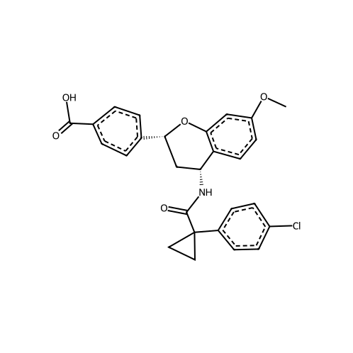 COc1ccc2c(c1)O[C@@H](c1ccc(C(=O)O)cc1)C[C@H]2NC(=O)C1(c2ccc(Cl)cc2)CC1